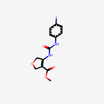 COC(=O)C1=C(NC(=O)Nc2ccc(I)cc2)COC1